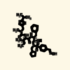 CC[C@H](C)[C@H](NC(=O)N(C)Cc1csc(C(C)C)n1)C(=O)N[C@@H](Cc1ccccc1)[C@H](O)CN(CC1CCCC1)S(=O)(=O)c1ccc(C=NO)cc1